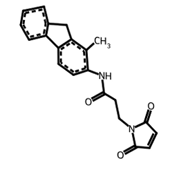 Cc1c(NC(=O)CCN2C(=O)C=CC2=O)ccc2c1Cc1ccccc1-2